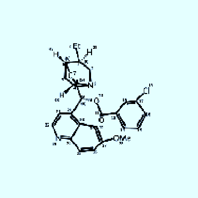 CC[C@H]1CN2CC[C@H]1C[C@H]2[C@H](OC(=O)c1cccc(Cl)c1)c1ccnc2ccc(OC)cc12